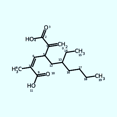 C=C(C(=O)O)C(C=C(C)C(=O)O)CC(CC)CCCC